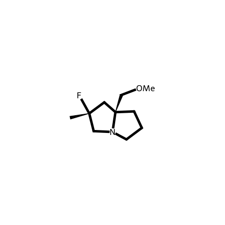 COC[C@@]12CCCN1C[C@](C)(F)C2